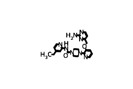 CCc1ccnc(NC(=O)N2CCN(c3ncccc3OCc3ccnc(N)n3)CC2)c1